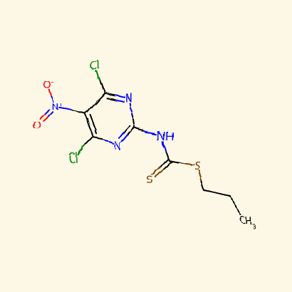 CCCSC(=S)Nc1nc(Cl)c([N+](=O)[O-])c(Cl)n1